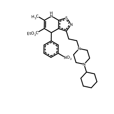 CCOC(=O)C1=C(C)Nc2snc(CCN3CCN(C4CCCCC4)CC3)c2C1c1cccc([N+](=O)[O-])c1